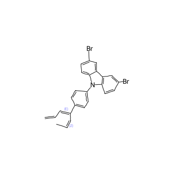 C=C/C=C(\C=C/C)c1ccc(-n2c3ccc(Br)cc3c3cc(Br)ccc32)cc1